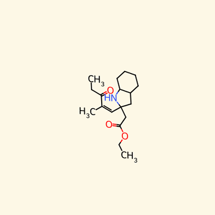 CCOC(=O)CC1(/C=C(/C)C(=O)CC)CC2CCCCC2N1